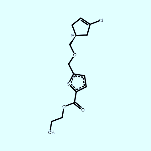 O=C(OCCO)c1ccc(COC[C@H]2CC=C(Cl)C2)s1